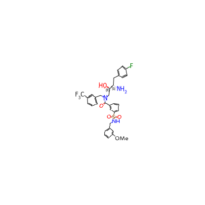 COc1cccc(CNS(=O)(=O)c2cccc(C(=O)N(Cc3cccc(C(F)(F)F)c3)C[C@@H](O)[C@@H](N)Cc3ccc(F)cc3)c2)c1